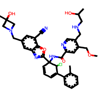 COCc1cc(C(=O)NC2(c3nc4cc(CN5CC(O)(CF)C5)cc(C#N)c4o3)C=CC=C(c3ccccc3C)C2Cl)ncc1CNCC(C)O